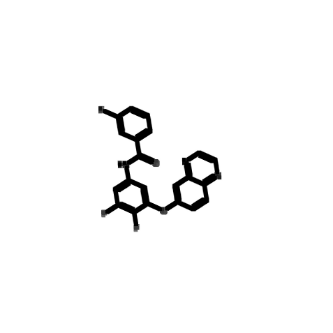 O=C(Nc1cc(F)c(F)c(Oc2ccc3nccnc3c2)c1)c1cccc(F)c1